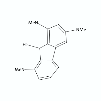 CCC1c2c(NC)cccc2-c2cc(NC)cc(NC)c21